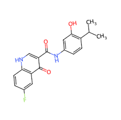 CC(C)c1ccc(NC(=O)c2c[nH]c3ccc(F)cc3c2=O)cc1O